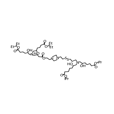 CCC(CC)OC(=O)CCCC(O)CN(CCCC(=O)OCCN1CCN(CCSSCCCN(CC(O)CCCCC(=O)OC(C)C)CC(O)CCCCC(=O)OC(C)C)CC1)CC(O)CCCC(=O)OC(CC)CC